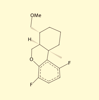 COC[C@@H]1CCC[C@@]2(C)c3c(F)ccc(F)c3OC[C@@H]12